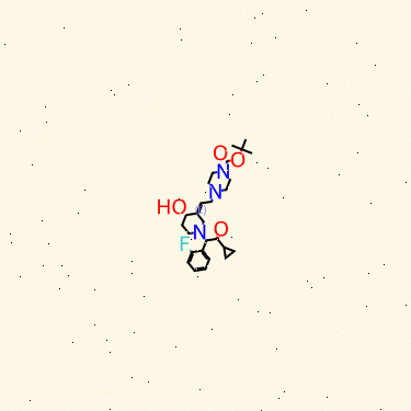 CC(C)(C)OC(=O)N1CCN(C/C=C2\CN(C(C(=O)C3CC3)c3ccccc3F)CCC2O)CC1